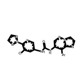 CC(C)c1c(NC(=O)Nc2cnc(-n3nccn3)c(Cl)c2)cnn2ccnc12